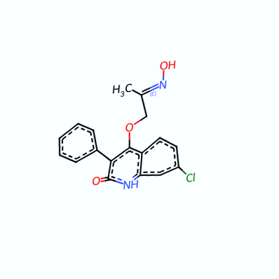 C/C(COc1c(-c2ccccc2)c(=O)[nH]c2cc(Cl)ccc12)=N\O